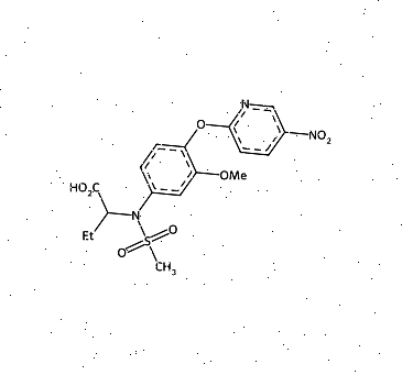 CCC(C(=O)O)N(c1ccc(Oc2ccc([N+](=O)[O-])cn2)c(OC)c1)S(C)(=O)=O